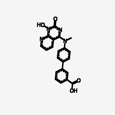 CN(c1ccc(-c2cccc(C(=O)O)c2)cc1)c1nc(=O)n(O)c2ncccc12